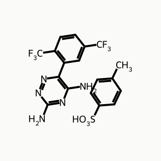 Cc1ccc(S(=O)(=O)O)cc1.Nc1nnc(-c2cc(C(F)(F)F)ccc2C(F)(F)F)c(N)n1